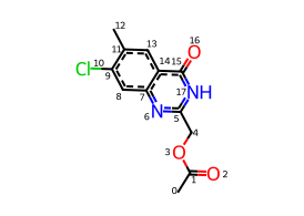 CC(=O)OCc1nc2cc(Cl)c(C)cc2c(=O)[nH]1